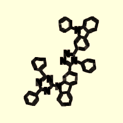 c1ccc(-c2nc(-c3ccccc3)nc(-n3c4ccccc4c4ccc(-c5nnc(-c6ccc7c8ccccc8n(-c8ccccc8)c7c6)n5-c5ccccc5)cc43)n2)cc1